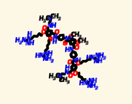 COc1cc(OC)c(C(=O)NC2CCC(NC(=O)c3cc(C(=O)NCCN(C)C)c(OCCCCCNC(=N)N)cc3OCCCCCNC(=N)N)CC2)cc1C(=O)NC1CCC(NC(=O)c2cc(C(=O)NCCN(C)C)c(OCCCCCNC(=N)N)cc2OCCCCCNC(=N)N)CC1